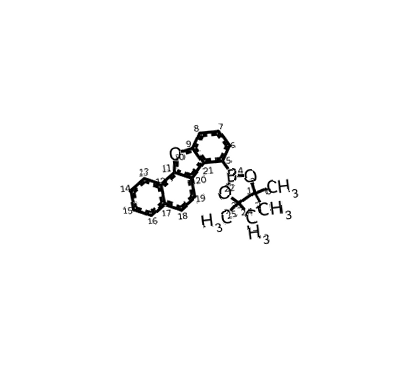 CC1(C)OB(c2cccc3oc4c5ccccc5ccc4c23)OC1(C)C